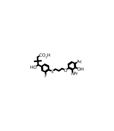 CCCc1c(OCCCSc2ccc(C(O)C(C)(C)CC(=O)O)cc2F)ccc(C(C)=O)c1O